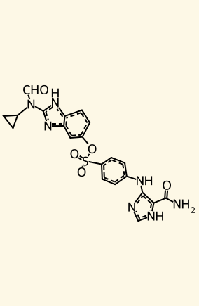 NC(=O)c1[nH]cnc1Nc1ccc(S(=O)(=O)Oc2ccc3[nH]c(N(C=O)C4CC4)nc3c2)cc1